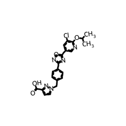 CC(C)Oc1ncc(-c2nc(-c3ccc(Cn4ccc(C(=O)O)n4)cc3)no2)cc1Cl